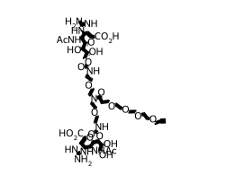 C#CCOCCOCCOCCOCCC(=O)N(CCOCCNC(=O)OC[C@@H](O)[C@@H](O)[C@@H]1OC(C(=O)O)=C[C@H](NC(=N)N)[C@H]1NC(C)=O)CCOCCNC(=O)O[C@@H]([C@@H]1OC(C(=O)O)=C[C@H](NC(=N)N)[C@H]1NC(C)=O)[C@H](O)CO